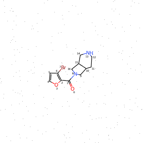 O=C(c1occc1Br)N1CC2CCNCC2C1